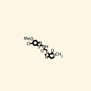 COc1cc2nc(NC(=O)Cn3cnc4ccn(C)c(=O)c43)sc2cc1Cl